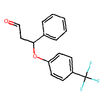 O=CCC(Oc1ccc(C(F)(F)F)cc1)c1ccccc1